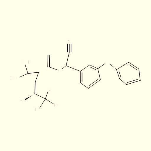 CC1(C)[C@@H]([C@H](Br)C(Br)(Br)Br)[C@H]1C(=O)OC(C#N)c1cccc(Oc2ccccc2)c1